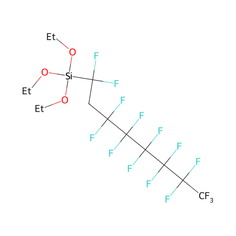 CCO[Si](OCC)(OCC)C(F)(F)CC(F)(F)C(F)(F)C(F)(F)C(F)(F)C(F)(F)C(F)(F)F